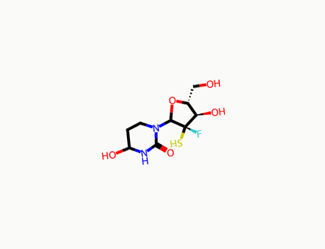 O=C1NC(O)CCN1C1O[C@H](CO)[C@@H](O)[C@]1(F)S